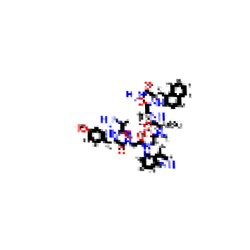 CCCC[C@@H](C(=O)N[C@@H](CC(=O)O)C(=O)N[C@@H](Cc1cccc2ccccc12)C(N)=O)N(C)C(=O)[C@H](Cc1c[nH]c2ccccc12)NC(=O)CNC(=O)[C@H](Cc1ccc(O)cc1)NC(=O)[C@H](C)N